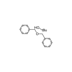 CC(C)(C)O.c1ccc(COCc2ccccc2)cc1